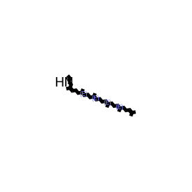 CCNCC(C)=CCC/C(C)=C/CC/C(C)=C/CC/C=C(\C)CC/C=C(\C)CCC=C(C)C